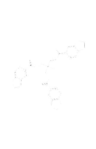 CC(COC(=O)c1ccc2c(c1)OCO2)(COC(=O)c1ccc2c(c1)OCO2)COC(=O)c1ccc2c(c1)OCO2